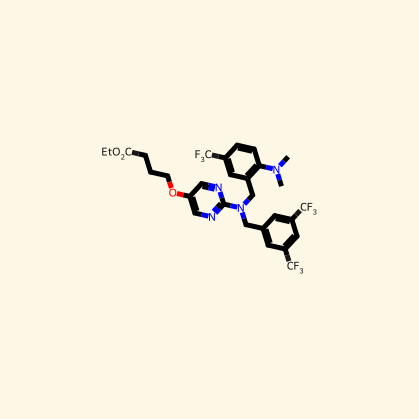 CCOC(=O)CCCOc1cnc(N(Cc2cc(C(F)(F)F)cc(C(F)(F)F)c2)Cc2cc(C(F)(F)F)ccc2N(C)C)nc1